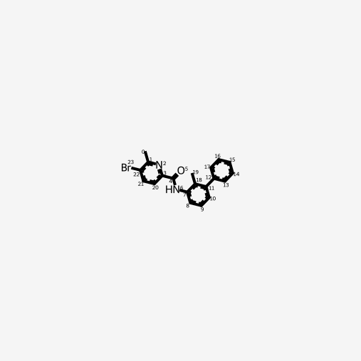 Cc1nc(C(=O)Nc2cccc(-c3ccccc3)c2C)ccc1Br